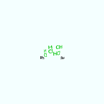 Cl.Cl.Cl.Cl.[Rh].[Ru]